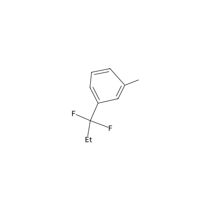 CCC(F)(F)c1cccc(C)c1